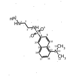 CCCNCCNS(=O)(=O)c1ccc2c(N(C)C)cccc2c1